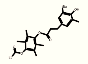 CCC(=O)Oc1c(C)c(C)c(OC(=O)CCc2cc(C)c(O)c(C(C)(C)C)c2)c(C)c1C